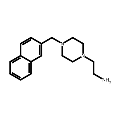 NCCN1CCN(Cc2ccc3ccccc3c2)CC1